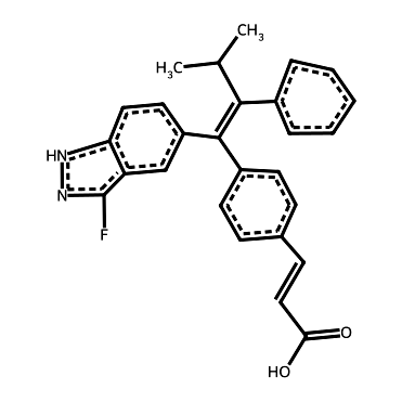 CC(C)/C(=C(/c1ccc(/C=C/C(=O)O)cc1)c1ccc2[nH]nc(F)c2c1)c1ccccc1